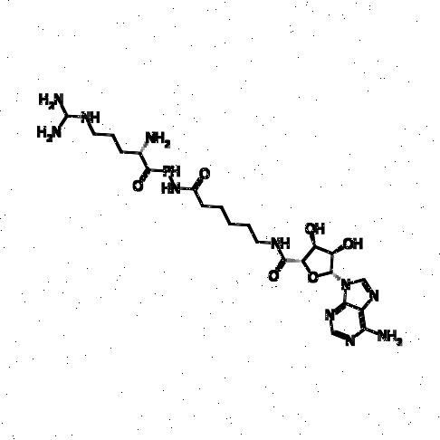 Nc1ncnc2c1ncn2[C@@H]1O[C@H](C(=O)NCCCCCC(=O)NPC(=O)[C@@H](N)CCCNC(N)N)[C@@H](O)[C@H]1O